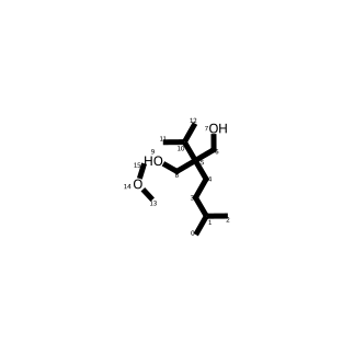 CC(C)CCC(CO)(CO)C(C)C.COC